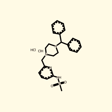 CS(=O)(=O)Nc1cccc(CN2CCN(C(c3ccccc3)c3ccccc3)CC2)n1.Cl.Cl